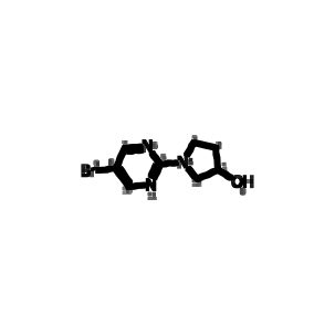 OC1CCN(c2ncc(Br)cn2)C1